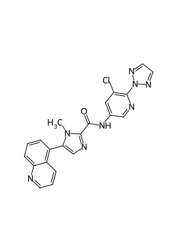 Cn1c(-c2cccc3ncccc23)cnc1C(=O)Nc1cnc(-n2nccn2)c(Cl)c1